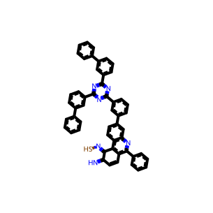 N=C1C=Cc2c(-c3ccccc3)nc3cc(-c4cccc(-c5nc(-c6cccc(-c7ccccc7)c6)nc(-c6cccc(-c7ccccc7)c6)n5)c4)ccc3c2/C1=N/S